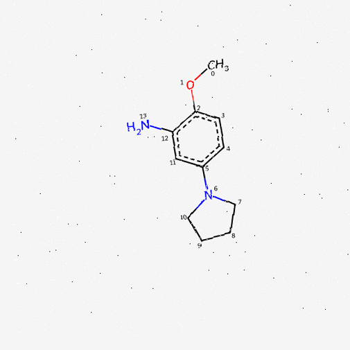 COc1ccc(N2CCCC2)cc1N